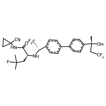 CC(C)(F)C[C@H](N[C@@H](c1ccc(-c2ccc([C@](C)(O)CC(F)(F)F)cc2)cc1)C(F)(F)F)C(=O)NC1(C#N)CC1